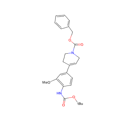 COc1cc(C2=CCN(C(=O)OCc3ccccc3)CC2)ccc1NC(=O)OC(C)(C)C